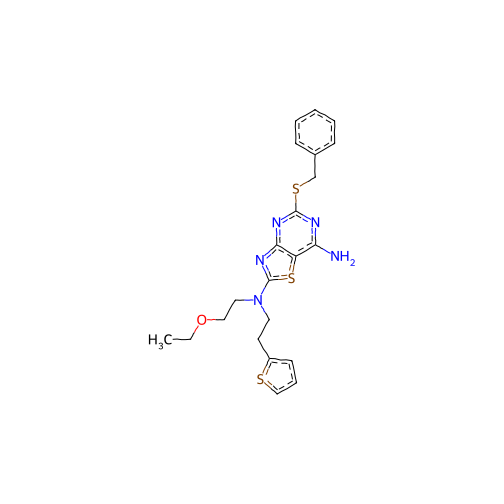 CCOCCN(CCc1cccs1)c1nc2nc(SCc3ccccc3)nc(N)c2s1